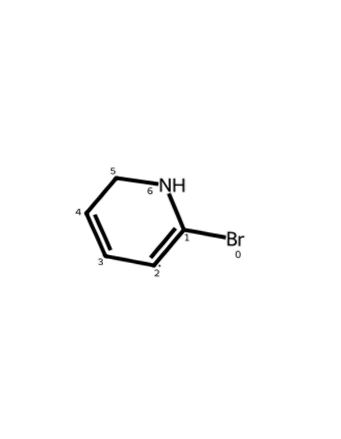 BrC1=[C]C=CCN1